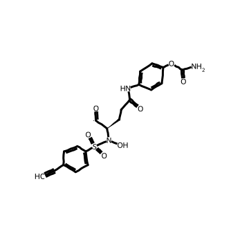 C#Cc1ccc(S(=O)(=O)N(O)[C@@H]([C]=O)CCC(=O)Nc2ccc(OC(N)=O)cc2)cc1